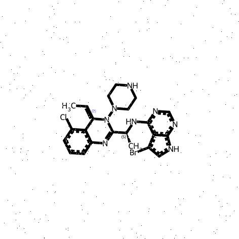 C/C=C1\c2c(Cl)cccc2N=C([C@H](C)Nc2ncnc3[nH]cc(Br)c23)N1N1CCNCC1